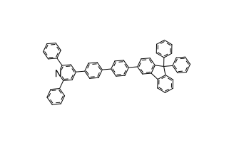 c1ccc(-c2cc(-c3ccc(-c4ccc(-c5ccc6c(c5)-c5ccccc5C6(c5ccccc5)c5ccccc5)cc4)cc3)cc(-c3ccccc3)n2)cc1